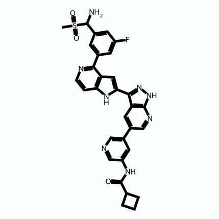 CS(=O)(=O)C(N)c1cc(F)cc(-c2nccc3[nH]c(-c4n[nH]c5ncc(-c6cncc(NC(=O)C7CCC7)c6)cc45)cc23)c1